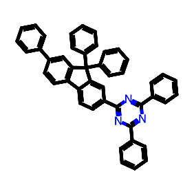 c1ccc(-c2ccc3c(c2)C(c2ccccc2)(c2ccccc2)c2cc(-c4nc(-c5ccccc5)nc(-c5ccccc5)n4)ccc2-3)cc1